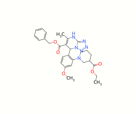 CCOC(=O)C1CCCN(c2cc(OC)ccc2C2C(C(=O)OCc3ccccc3)=C(C)Nc3nnnn32)C1